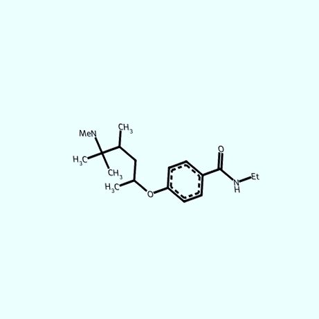 CCNC(=O)c1ccc(OC(C)CC(C)C(C)(C)NC)cc1